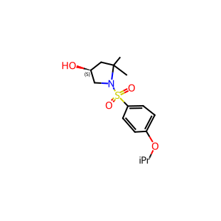 CC(C)Oc1ccc(S(=O)(=O)N2C[C@@H](O)CC2(C)C)cc1